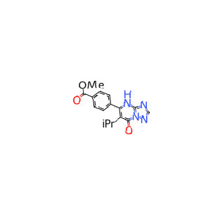 COC(=O)c1ccc(-c2[nH]c3ncnn3c(=O)c2C(C)C)cc1